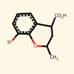 CC1CC(C(=O)O)c2cccc(Br)c2O1